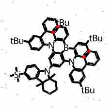 CC(C)(C)c1ccc2c(c1)B1c3ccc(C(C)(C)C)cc3N(c3ccc(C(C)(C)C)cc3-c3ccccc3)c3cc(N4c5ccc([Si](C)(C)C)cc5C5(C)CCCCC45C)cc(c31)N2c1ccc(C(C)(C)C)cc1-c1ccccc1